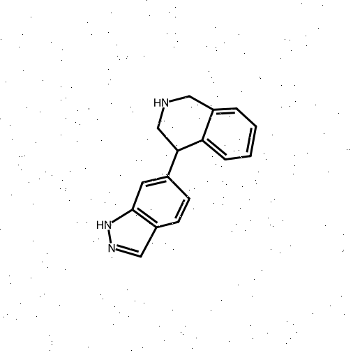 c1ccc2c(c1)CNCC2c1ccc2cn[nH]c2c1